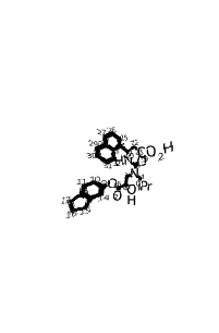 CC(C)CN(CC(O)C(=O)Oc1ccc2c(c1)CCC2)C(=O)NC(CC(=O)O)c1cccc2ccccc12